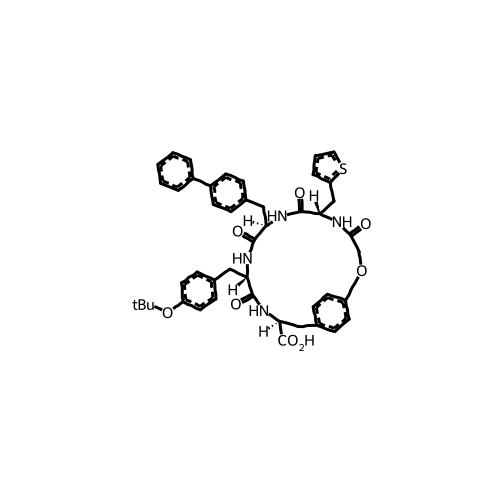 CC(C)(C)Oc1ccc(C[C@@H]2NC(=O)[C@@H](Cc3ccc(-c4ccccc4)cc3)NC(=O)[C@H](Cc3cccs3)NC(=O)COc3ccc(cc3)C[C@@H](C(=O)O)NC2=O)cc1